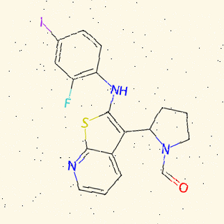 O=CN1CCCC1c1c(Nc2ccc(I)cc2F)sc2ncccc12